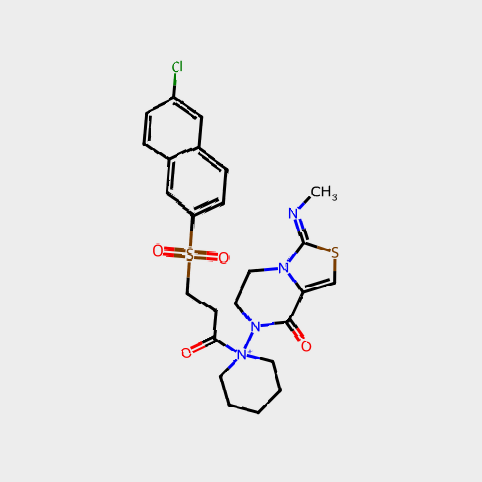 C/N=c1\scc2n1CCN([N+]1(C(=O)CCS(=O)(=O)c3ccc4cc(Cl)ccc4c3)CCCCC1)C2=O